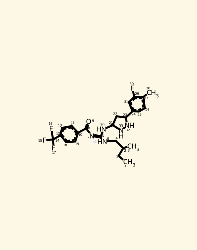 CCC(C)CN/C(=N/C(=O)c1ccc(C(F)(F)F)cc1)NC1CC(c2ccc(C)c(F)c2)NN1